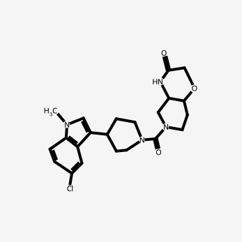 Cn1cc(C2CCN(C(=O)N3CCC4OCC(=O)NC4C3)CC2)c2cc(Cl)ccc21